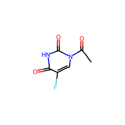 CC(=O)n1cc(F)c(=O)[nH]c1=O